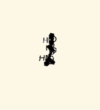 COc1cc2c(Oc3ccc(NC(=O)c4ccccc4)cc3)ccnc2cc1OCCCCNC(Cc1ccccc1)C(=O)OC1CCCC1